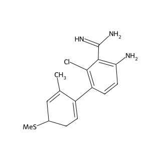 CSC1C=C(C)C(c2ccc(N)c(C(=N)N)c2Cl)=CC1